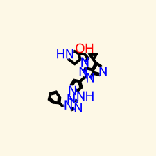 OC12CCN(c3nc(-c4ccnc(Nc5ncn(Cc6ccccc6)n5)c4)nc4cncc(C5CC5)c34)C1CCNC2